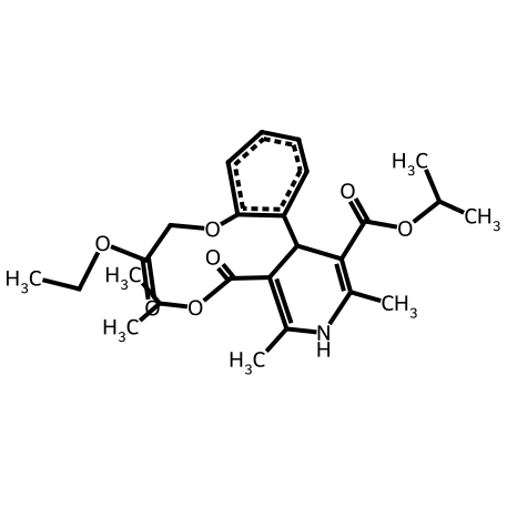 CCOC(=O)COc1ccccc1C1C(C(=O)OC(C)C)=C(C)NC(C)=C1C(=O)OC(C)C